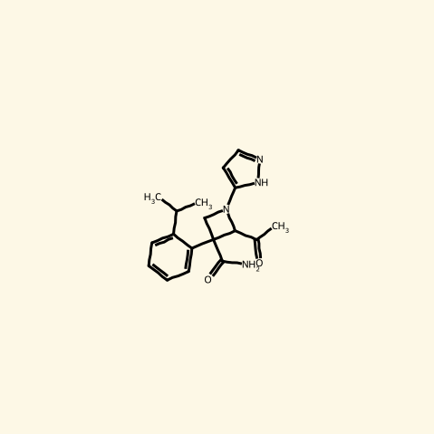 CC(=O)C1N(c2ccn[nH]2)CC1(C(N)=O)c1ccccc1C(C)C